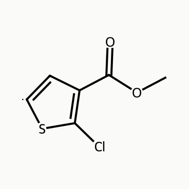 COC(=O)c1c[c]sc1Cl